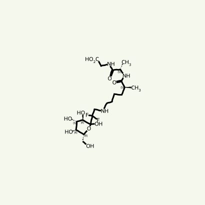 C[C@H](NC(=O)[C@@H](C)CCCCNCC(F)(F)C1(O)O[C@H](CO)[C@H](O)[C@H](O)[C@H]1O)C(=O)NCC(=O)O